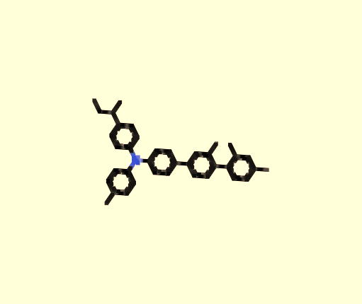 CCC(C)c1ccc(N(c2ccc(C)cc2)c2ccc(-c3ccc(-c4ccc(C)cc4C)c(C)c3)cc2)cc1